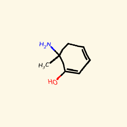 CC1(N)CC=CC=C1O